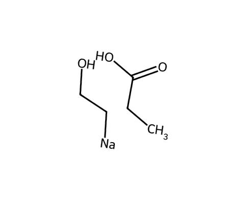 CCC(=O)O.OC[CH2][Na]